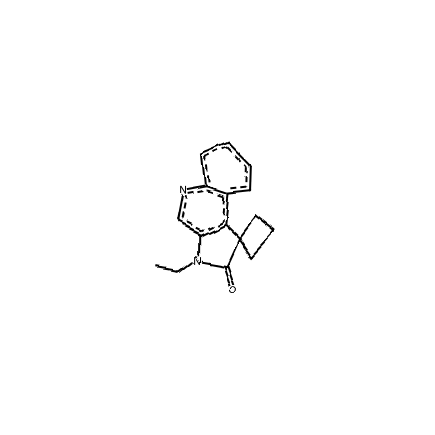 CCN1C(=O)C2(CCC2)c2c1cnc1ccccc21